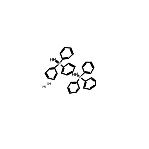 I.I.N=P(c1ccccc1)(c1ccccc1)c1ccccc1.N=P(c1ccccc1)(c1ccccc1)c1ccccc1